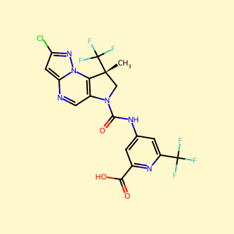 C[C@@]1(C(F)(F)F)CN(C(=O)Nc2cc(C(=O)O)nc(C(F)(F)F)c2)c2cnc3cc(Cl)nn3c21